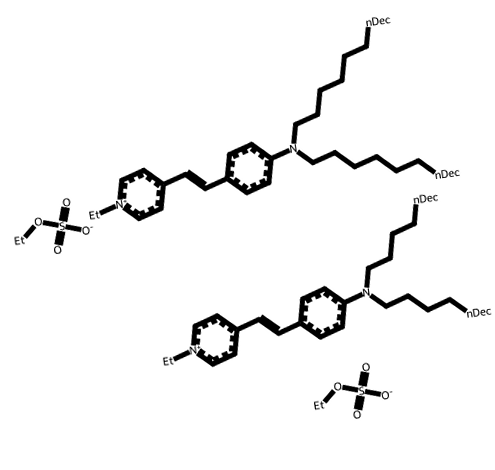 CCCCCCCCCCCCCCCCN(CCCCCCCCCCCCCCCC)c1ccc(/C=C/c2cc[n+](CC)cc2)cc1.CCCCCCCCCCCCCCN(CCCCCCCCCCCCCC)c1ccc(/C=C/c2cc[n+](CC)cc2)cc1.CCOS(=O)(=O)[O-].CCOS(=O)(=O)[O-]